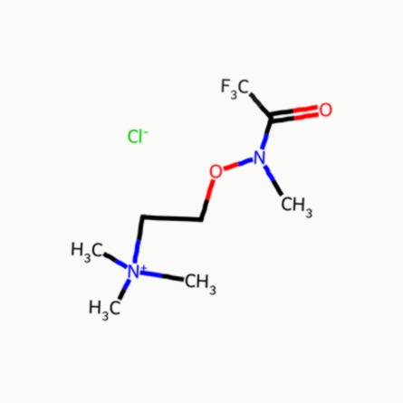 CN(OCC[N+](C)(C)C)C(=O)C(F)(F)F.[Cl-]